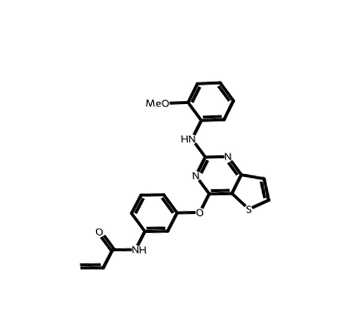 C=CC(=O)Nc1cccc(Oc2nc(Nc3ccccc3OC)nc3ccsc23)c1